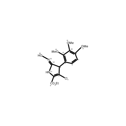 CCOC(=O)C1=C(Cl)C(c2ccc(OC)c(OC)c2OC)C(=NO)N1